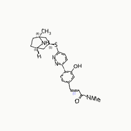 CNC(=O)/C=C/c1ccc(-c2ccc(S[C@H]3C[C@@H]4CC[C@](C)(C3)N4)nn2)c(O)c1